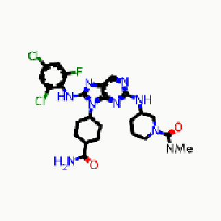 CNC(=O)N1CCCC(Nc2ncc3nc(Nc4c(F)cc(Cl)cc4Cl)n(C4CCC(C(N)=O)CC4)c3n2)C1